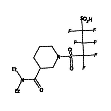 CCN(CC)C(=O)C1CCCN(S(=O)(=O)C(F)(F)C(F)(F)C(F)(F)S(=O)(=O)O)C1